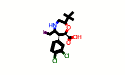 CC(C)(C)C1CNC(CI)[C@@H](c2ccc(Cl)c(Cl)c2)[C@H](C(=O)O)O1